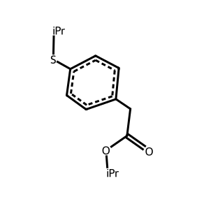 CC(C)OC(=O)Cc1ccc(SC(C)C)cc1